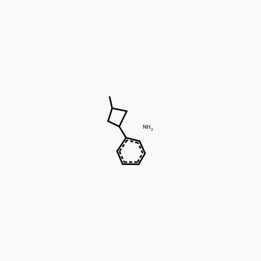 CC1CC(c2ccccc2)C1.N